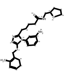 CC1=C(CSc2nnc(CCCCC(=O)NCC3CCCO3)n2-c2cccc(N)c2)CCC=C1